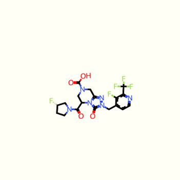 O=C(O)N1Cc2nn(Cc3ccnc(C(F)(F)F)c3F)c(=O)n2C(C(=O)N2CC[C@H](F)C2)C1